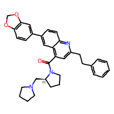 O=C(c1cc(CCc2ccccc2)nc2ccc(-c3ccc4c(c3)OCO4)cc12)N1CCC[C@H]1CN1CCCC1